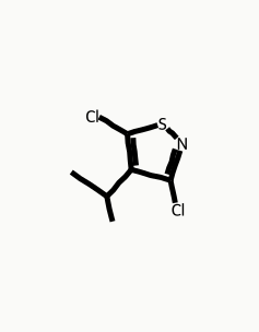 CC(C)c1c(Cl)nsc1Cl